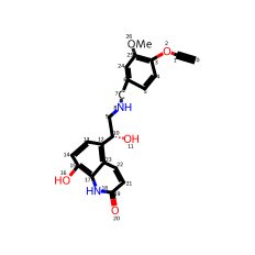 C#COc1ccc(CNC[C@H](O)c2ccc(O)c3[nH]c(=O)ccc23)cc1OC